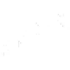 C=CC(CC(=O)O)NC(=O)C[C@@H]1CCCN(c2ccc(C(=N)N)cc2)C1=O